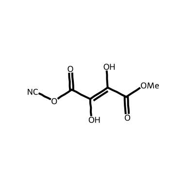 COC(=O)/C(O)=C(\O)C(=O)OC#N